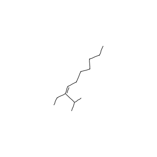 CCCCCCC=C(CC)C(C)C